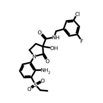 CCS(=O)(=O)c1cccc(N2CCC(O)(C(=O)NCc3cc(F)cc(Cl)c3)C2=O)c1N